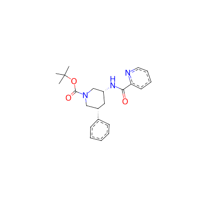 CC(C)(C)OC(=O)N1C[C@H](NC(=O)c2ccccn2)C[C@H](c2ccccc2)C1